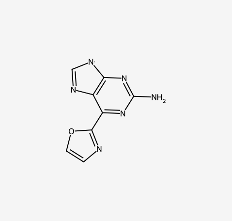 Nc1nc2c(c(-c3ncco3)n1)N=C[N]2